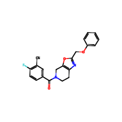 N#Cc1cc(C(=O)N2CCc3nc(COc4ccccc4)oc3C2)ccc1F